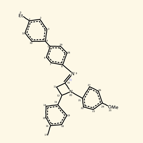 CCc1ccc(-c2ccc(/N=C3\CC(c4ccc(C)cc4)N3c3ccc(OC)cc3)cc2)cc1